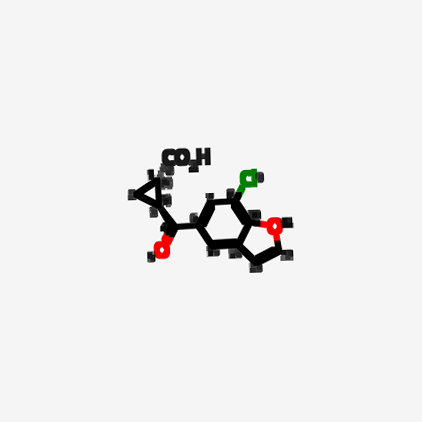 O=C(O)[C@H]1C[C@@H]1C(=O)c1cc(Cl)c2occc2c1